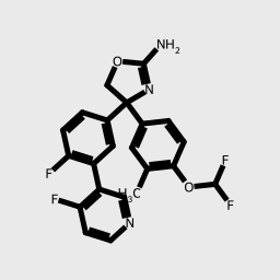 Cc1cc(C2(c3ccc(F)c(-c4cnccc4F)c3)COC(N)=N2)ccc1OC(F)F